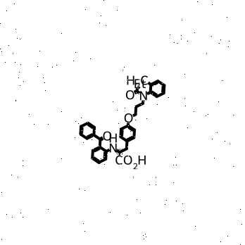 CCC(=O)N(CCCOc1ccc(C[C@H](Nc2ccccc2C(=O)c2ccccc2)C(=O)O)cc1)c1ccccc1C